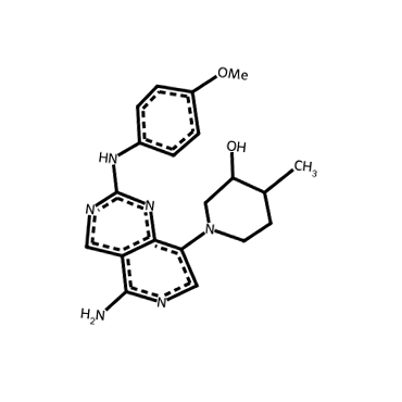 COc1ccc(Nc2ncc3c(N)ncc(N4CCC(C)C(O)C4)c3n2)cc1